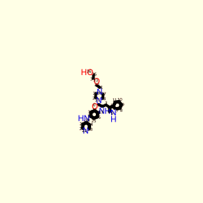 O=C(C(Cc1c[nH]c2ccccc12)Nc1ccc(Nc2ccncc2)cc1)N1CCN(CCOCCO)CC1